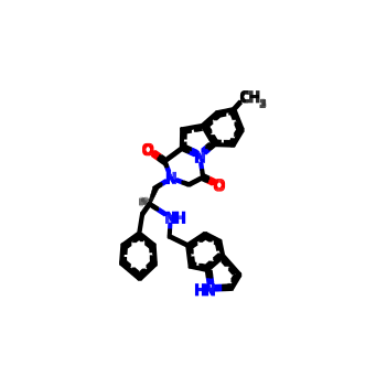 Cc1ccc2c(c1)cc1n2C(=O)CN(C[C@H](Cc2ccccc2)NCc2ccc3cc[nH]c3c2)C1=O